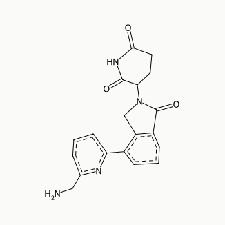 NCc1cccc(-c2cccc3c2CN(C2CCC(=O)NC2=O)C3=O)n1